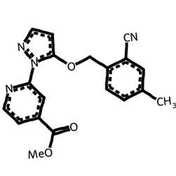 COC(=O)c1ccnc(-n2nccc2OCc2ccc(C)cc2C#N)c1